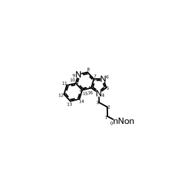 CCCCCCCCCCCCn1cnc2cnc3ccccc3c21